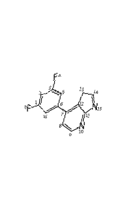 Fc1cc(F)cc(-c2ccnc3c2CC=N3)c1